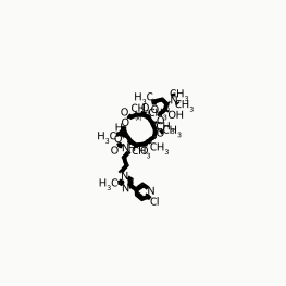 CO[C@@]1(C)C[C@@H](C)C(=O)[C@H](C)[C@H]2N(CCCCn3cc(-c4ccc(Cl)nc4)nc3C)C(=O)O[C@@]23C(C)[C@H]3OC(=O)[C@H](C)C(=O)[C@H](C)[C@H]1OC1O[C@H](C)C[C@H](N(C)C)[C@H]1O